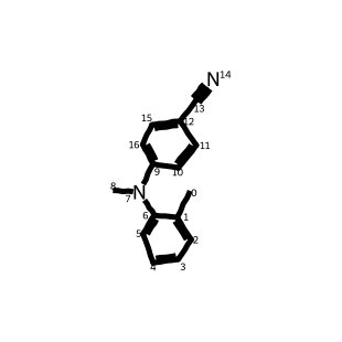 Cc1ccccc1N(C)c1ccc(C#N)cc1